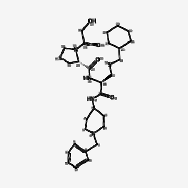 O=C(NC1CCN(Cc2ccccc2)CC1)[C@H](CSCC1CCCCC1)NC(=O)[C@@H]1CSCN1C(=O)CO